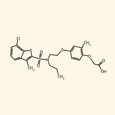 CCCN(CCSc1ccc(OCC(=O)O)c(C)c1)S(=O)(=O)c1sc2c(Cl)cccc2c1C